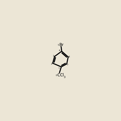 ClC(Cl)(Cl)c1ccc(Br)cc1